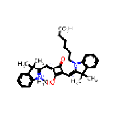 C[N+]1=C(/C=C2/C(=O)C(/C=C3\N(CCCCCC(=O)O)c4ccccc4C3(C)C)=C2O)C(C)(C)c2ccccc21